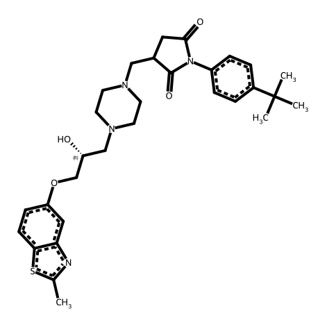 Cc1nc2cc(OC[C@H](O)CN3CCN(CC4CC(=O)N(c5ccc(C(C)(C)C)cc5)C4=O)CC3)ccc2s1